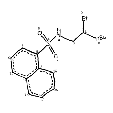 CCCCC(CC)CNS(=O)(=O)c1cccc2ccccc12